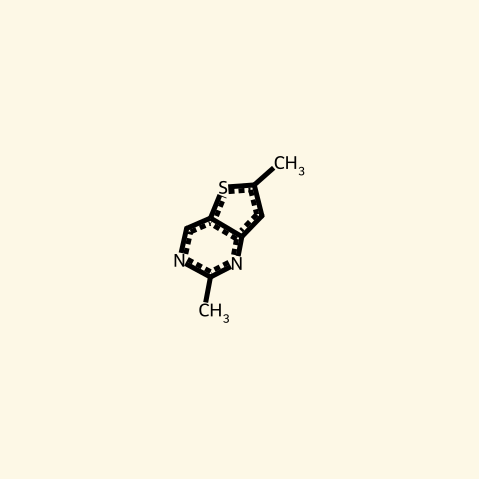 Cc1ncc2sc(C)cc2n1